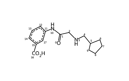 O=C(CNCC1CCCC1)Nc1cccc(C(=O)O)c1